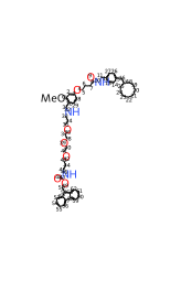 COc1cc(OCCCC(=O)NCc2ccc(CC3CCCCCCCC3)cc2)ccc1CNCCCOCCOCCOCCCNC(=O)OCC1c2ccccc2-c2ccccc21